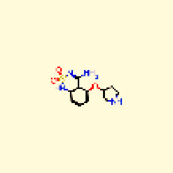 NC1=NS(=O)(=O)NC2C=CC=C(OC3CCNC3)C12